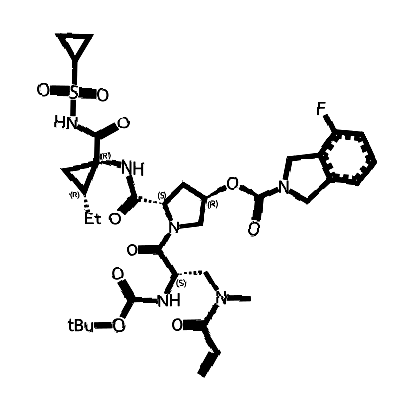 C=CC(=O)N(C)C[C@H](NC(=O)OC(C)(C)C)C(=O)N1C[C@H](OC(=O)N2Cc3cccc(F)c3C2)C[C@H]1C(=O)N[C@]1(C(=O)NS(=O)(=O)C2CC2)C[C@H]1CC